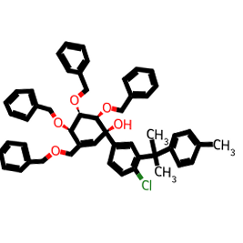 Cc1ccc(C(C)(C)c2cc([C@]3(O)C=C(COCc4ccccc4)[C@@H](OCc4ccccc4)[C@H](OCc4ccccc4)[C@H]3OCc3ccccc3)ccc2Cl)cc1